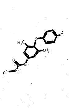 CCCNC(=O)Nc1cc(C)c(Sc2ccc(Cl)cc2)c(C)c1